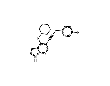 Fc1ccc(CC#Cc2cnc3[nH]ccc3c2NC2CCCCC2)cc1